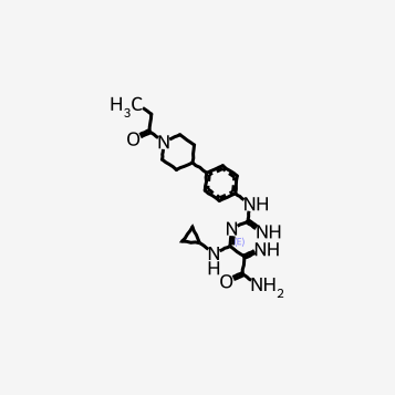 CCC(=O)N1CCC(c2ccc(NC(=N)/N=C(/NC3CC3)C(=N)C(N)=O)cc2)CC1